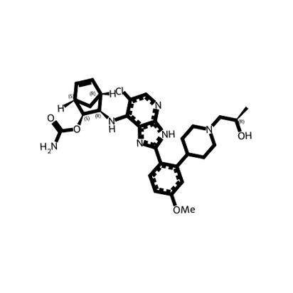 COc1ccc(-c2nc3c(N[C@H]4[C@@H](OC(N)=O)[C@@H]5C=C[C@H]4C5)c(Cl)cnc3[nH]2)c(C2CCN(C[C@@H](C)O)CC2)c1